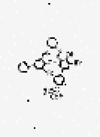 CC(=O)[O-].CC(=O)[O-].CC(C)c1cc(-c2ccccc2)cc(C=NC2CCCCC2N=Cc2cc(-c3ccccc3)cc(C(C)C)c2O)c1O.[Co+2]